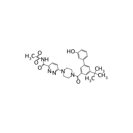 CC(C)(C)c1cc(C(=O)N2CCN(c3ccc(C(=O)NS(C)(=O)=O)nn3)CC2)cc(-c2cccc(O)c2)c1